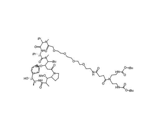 CCC(C)C(C(CC(=O)N1CCCC1C(OC)C(C)C(=O)N[C@@H](C)[C@H](O)c1ccccc1)OC)N(C)C(=O)[C@@H](NC(=O)C(C(C)C)N(C)C(=O)COCCOCCOCCOCCNC(=O)CCC(=O)N(CCNC(=O)OC(C)(C)C)CCNC(=O)OC(C)(C)C)C(C)C